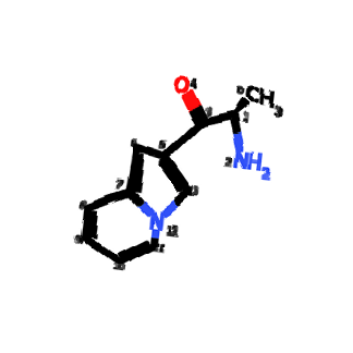 C[C@@H](N)C(=O)c1cc2ccccn2c1